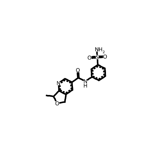 CC1OCc2cc(C(=O)Nc3cccc(S(N)(=O)=O)c3)cnc21